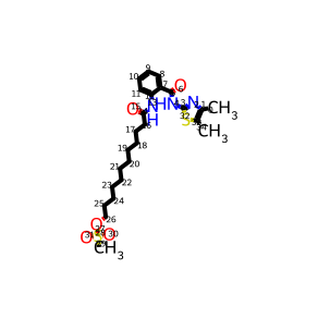 Cc1nc(NC(=O)c2ccccc2NC(=O)CCCCCCCCCCCOS(C)(=O)=O)sc1C